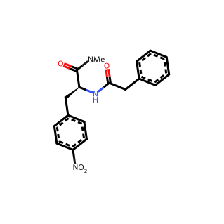 CNC(=O)[C@H](Cc1ccc([N+](=O)[O-])cc1)NC(=O)Cc1ccccc1